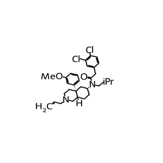 C=CCN1CC[C@@]2(c3cccc(OC)c3)C[C@H](N(CC(C)C)C(=O)Cc3ccc(Cl)c(Cl)c3)CC[C@@H]2C1